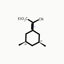 CCOC(=O)/C(C#N)=C1/C[C@@H](C)C[C@@H](C)C1